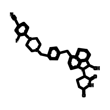 N#Cc1ccc(N2CCN(Cc3ccc(Cc4ccc5c6c(cccc46)C(O)N5C4CCC(=O)NC4=O)cc3)CC2)c(F)c1